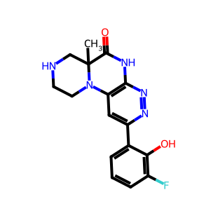 CC12CNCCN1c1cc(-c3cccc(F)c3O)nnc1NC2=O